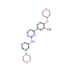 N#Cc1cc(-c2ccnc(Nc3cncc(N4CCOCC4)c3)n2)ccc1OC1CCOCC1